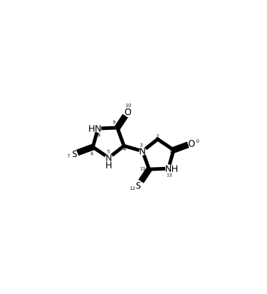 O=C1CN(C2NC(=S)NC2=O)C(=S)N1